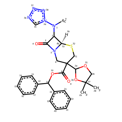 CC(=O)N(C1C(=O)N2CC(C(=O)OC(c3ccccc3)c3ccccc3)(C3OCC(C)(C)O3)CS[C@H]12)n1cnnn1